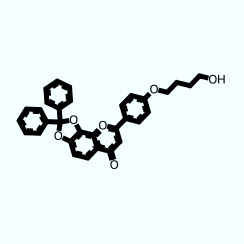 O=c1cc(-c2ccc(OCCCCO)cc2)oc2c3c(ccc12)OC(c1ccccc1)(c1ccccc1)O3